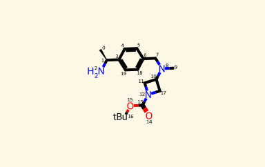 C[C@H](N)c1ccc(CN(C)C2CN(C(=O)OC(C)(C)C)C2)cc1